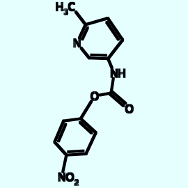 Cc1ccc(NC(=O)Oc2ccc([N+](=O)[O-])cc2)cn1